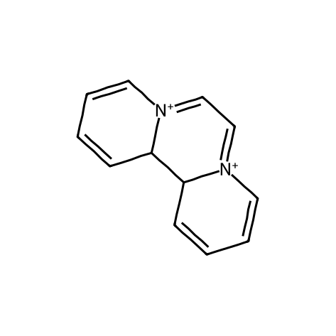 C1=CC2C3C=CC=C[N+]3=CC=[N+]2C=C1